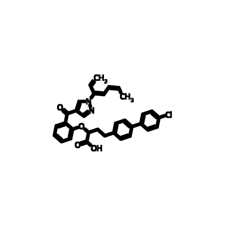 C=C/C(=C\C=C/C)n1cc(C(=O)c2ccccc2OC(CCc2ccc(-c3ccc(Cl)cc3)cc2)C(=O)O)cn1